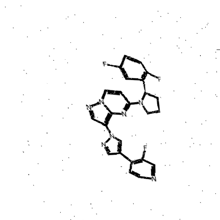 Fc1ccc(F)c([C@H]2CCCN2c2ccn3ncc(-n4cc(-c5ccncc5F)cn4)c3n2)c1